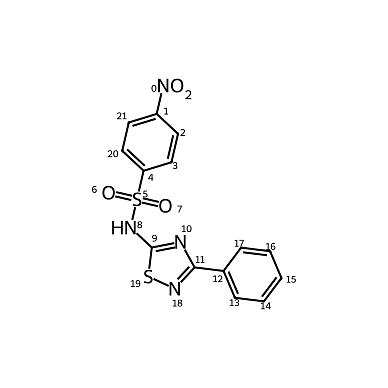 O=[N+]([O-])c1ccc(S(=O)(=O)Nc2nc(-c3ccccc3)ns2)cc1